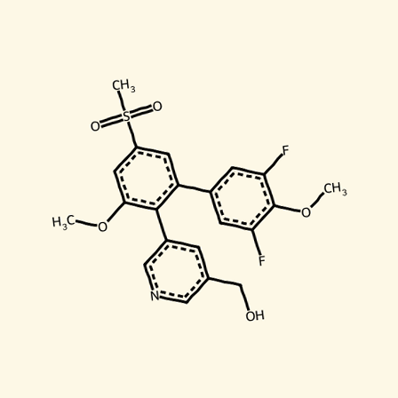 COc1cc(S(C)(=O)=O)cc(-c2cc(F)c(OC)c(F)c2)c1-c1cncc(CO)c1